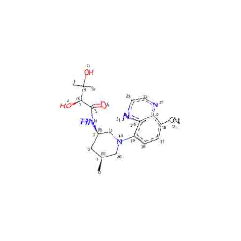 C[C@H]1C[C@@H](NC(=O)[C@@H](O)C(C)(C)O)CN(c2ccc(C#N)c3nccnc23)C1